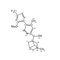 COc1cc(C(F)(F)F)ccc1-c1nnc(C(O)C23CC(CN(C)C2)C3)cc1C